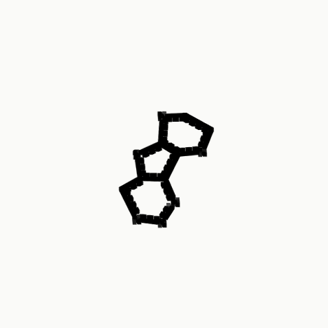 c1cnc2c(n1)sc1cnnnc12